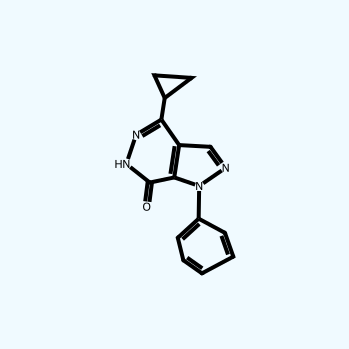 O=c1[nH]nc(C2CC2)c2cnn(-c3ccccc3)c12